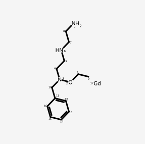 CCON(CCNCCN)Cc1ccccc1.[Gd]